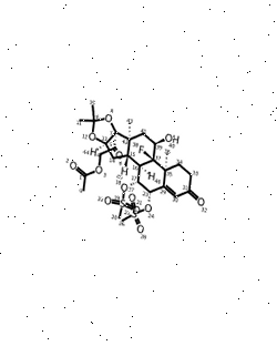 CC(=O)OCC(=O)[C@@]12OC(C)(C)O[C@@H]1C[C@H]1[C@@H]3[C@@H](OS(C)(=O)=O)[C@@H](OS(C)(=O)=O)C4=CC(=O)CC[C@]4(C)[C@@]3(F)[C@H](O)C[C@@]12C